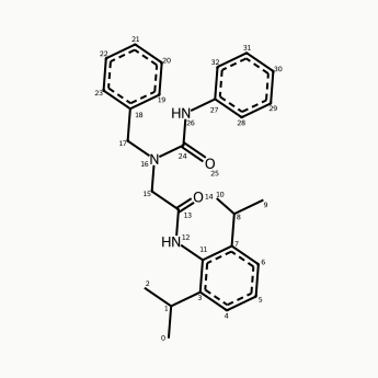 CC(C)c1cccc(C(C)C)c1NC(=O)CN(Cc1ccccc1)C(=O)Nc1ccccc1